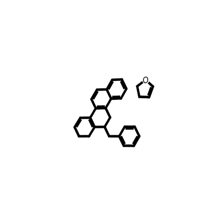 C1=CC2=C(CC1)C(Cc1ccccc1)Cc1c2ccc2ccccc12.C1=COCC1